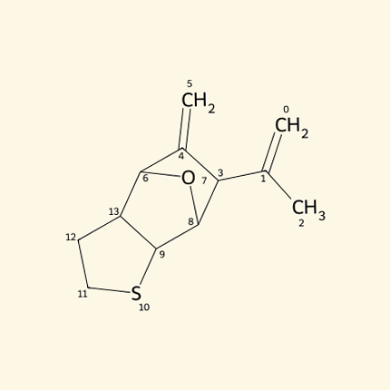 C=C(C)C1C(=C)C2OC1C1SCCC21